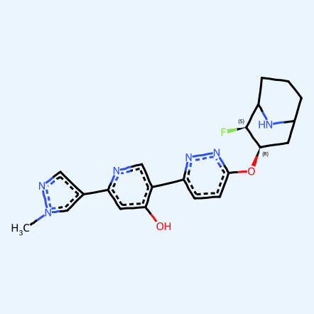 Cn1cc(-c2cc(O)c(-c3ccc(O[C@@H]4CC5CCCC(N5)[C@@H]4F)nn3)cn2)cn1